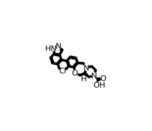 Cc1ccc2[nH]ncc2c1-c1ccc2c(c1Cl)OC[C@H]1CN(C(=O)O)CCN1C2